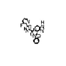 O=C(c1nnc(-c2ncccc2F)o1)N1CCc2[nH]cnc2[C@H]1c1nc2ccccc2o1